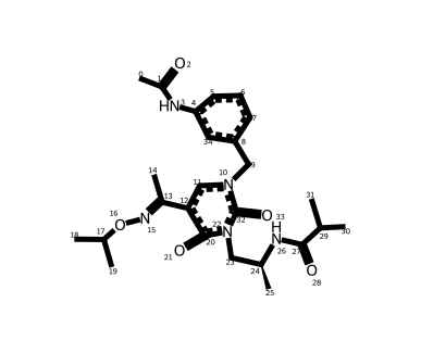 CC(=O)Nc1cccc(Cn2cc(/C(C)=N/OC(C)C)c(=O)n(C[C@H](C)NC(=O)C(C)C)c2=O)c1